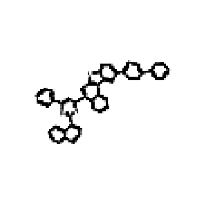 C1=C(c2ccccc2)CCC(c2ccc3oc4cc(-c5cc(-c6ccccc6)nc(-c6cccc7ccccc67)n5)c5ccccc5c4c3c2)=C1